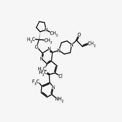 C=CC(=O)N1CCN(c2nc(OC(C)(C)[C@@H]3CCCN3C)nc(C)c2/C=C(/Cl)C(=C)c2nc(N)ccc2C(F)(F)F)CC1